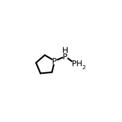 PPP1CCCC1